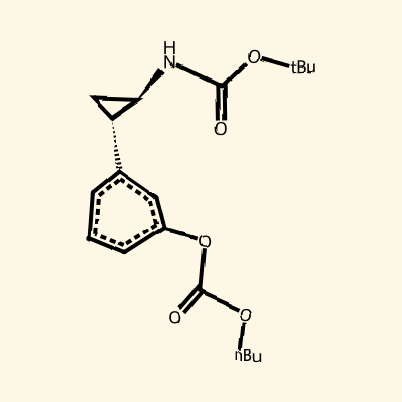 CCCCOC(=O)Oc1cccc([C@@H]2C[C@H]2NC(=O)OC(C)(C)C)c1